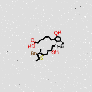 B=C[C@@H]1CC(O)[C@H](C/C=C\CCCC(=O)O)[C@H]1/C=C/[C@@H](O)CCc1sc(C)c(Br)c1C